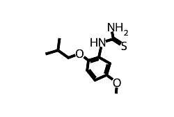 COc1ccc(OCC(C)C)c(NC(N)=S)c1